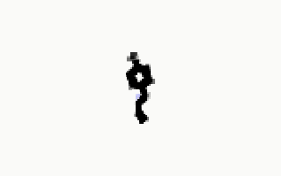 C#C/C=C/c1ccc(CC)cc1